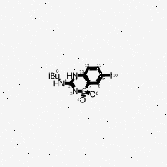 CCC(C)NC1=NS(=O)(=O)c2cc(I)ccc2N1